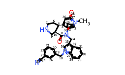 Cn1ccc([C@H]2CCNC[C@@H]2C(=O)N(Cc2cn(Cc3cccc(C#N)c3)c3ccccc23)C2CC2)cc1=O